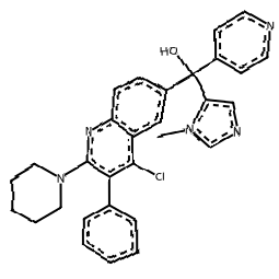 Cn1cncc1C(O)(c1ccncc1)c1ccc2nc(N3CCCCC3)c(-c3ccccc3)c(Cl)c2c1